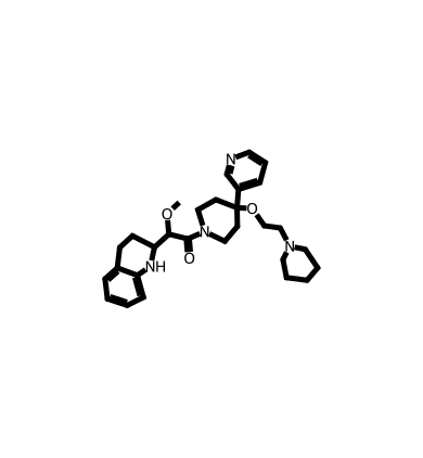 COC(C(=O)N1CCC(OCCN2CCCCC2)(c2cccnc2)CC1)C1CCc2ccccc2N1